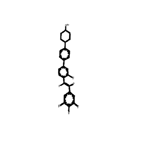 CCCC1CCC(c2ccc(-c3ccc(/C(F)=C(\F)c4cc(F)c(F)c(F)c4)c(F)c3)cc2)CC1